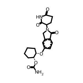 NC(=O)O[C@@H]1CCCC[C@@H]1Oc1ccc2c(c1)CN(C1CCC(=O)NC1=O)C2=O